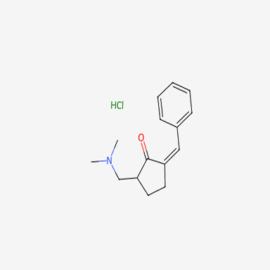 CN(C)CC1CCC(=Cc2ccccc2)C1=O.Cl